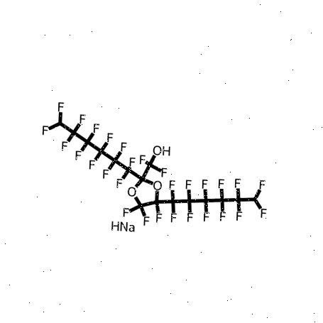 OC(F)(F)C1(C(F)(F)C(F)(F)C(F)(F)C(F)(F)C(F)(F)C(F)F)OC(F)(F)C(F)(C(F)(F)C(F)(F)C(F)(F)C(F)(F)C(F)(F)C(F)F)O1.[NaH]